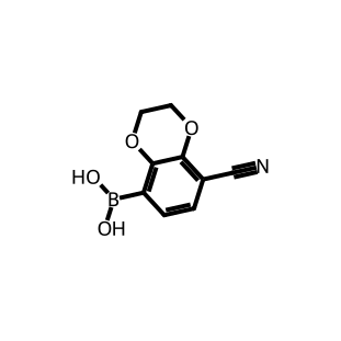 N#Cc1ccc(B(O)O)c2c1OCCO2